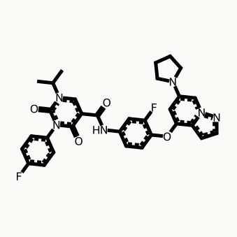 CC(C)n1cc(C(=O)Nc2ccc(Oc3cc(N4CCCC4)cn4nccc34)c(F)c2)c(=O)n(-c2ccc(F)cc2)c1=O